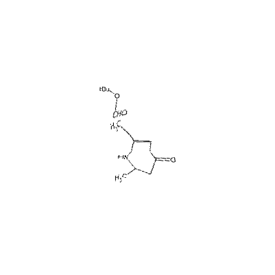 CC(C)(C)OC=O.CC1CC(=O)CC(C)N1